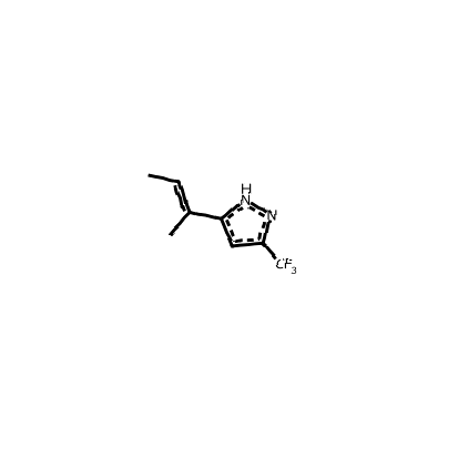 C/C=C(\C)c1cc(C(F)(F)F)n[nH]1